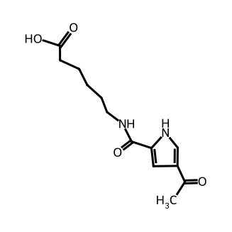 CC(=O)c1c[nH]c(C(=O)NCCCCCC(=O)O)c1